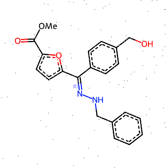 COC(=O)c1ccc(/C(=N/NCc2ccccc2)c2ccc(CO)cc2)o1